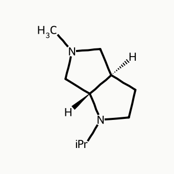 CC(C)N1CC[C@@H]2CN(C)C[C@H]21